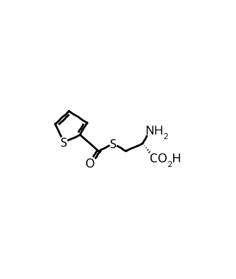 N[C@@H](CSC(=O)c1cccs1)C(=O)O